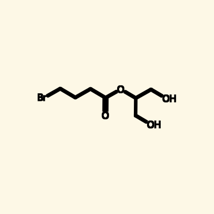 O=C(CCCBr)OC(CO)CO